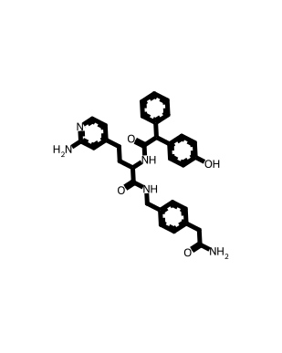 NC(=O)Cc1ccc(CNC(=O)C(CCc2ccnc(N)c2)NC(=O)C(c2ccccc2)c2ccc(O)cc2)cc1